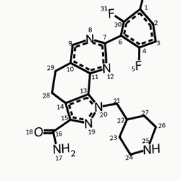 Cc1ccc(F)c(-c2ncc3c(n2)-c2c(c(C(N)=O)nn2CC2CCNCC2)CC3)c1F